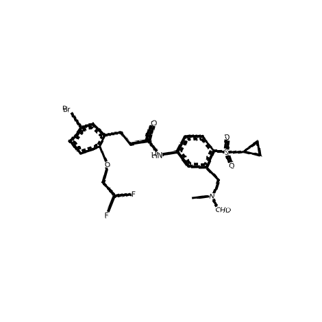 CN(C=O)Cc1cc(NC(=O)CCc2cc(Br)ccc2OCC(F)F)ccc1S(=O)(=O)C1CC1